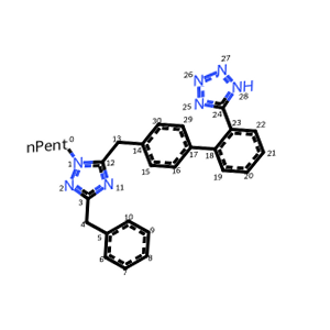 CCCCCn1nc(Cc2ccccc2)nc1Cc1ccc(-c2ccccc2-c2nnn[nH]2)cc1